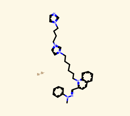 CN(/N=C/c1ccc2ccccc2[n+]1CCCCCCn1cc[n+](CCCCn2ccnc2)c1)c1ccccc1.[Br-].[Br-]